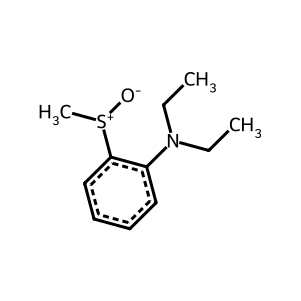 CCN(CC)c1ccccc1[S+](C)[O-]